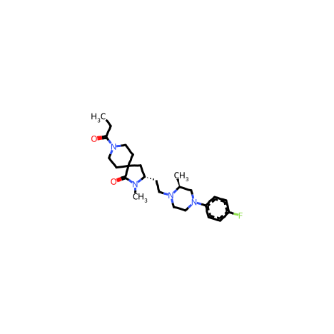 CCC(=O)N1CCC2(CC1)C[C@H](CCN1CCN(c3ccc(F)cc3)C[C@@H]1C)N(C)C2=O